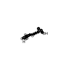 O=C1CCC(N2C(=O)c3cc4c(cc3C2=O)CN(CC(=O)N2CC3(C2)CN(c2ccc([C@@H]5c6ccc(O)cc6CC[C@@H]5c5ccccc5)cc2)C3)C4)C(=O)N1